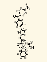 CN(C)C1CCN(C(=O)c2ccc(-c3csc(CNC(=O)C4(CC(=O)O)Cc5ccccc5C4)n3)cc2)CC1